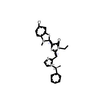 CCn1c(=O)/c(=C2\Sc3cc(Cl)ccc3N2C)s/c1=C\c1scc[n+]1[C@@H](C)c1ccccc1